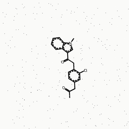 CC(=O)Cc1ccc(CC(=O)c2cn(C)c3ccccc23)c(Cl)c1